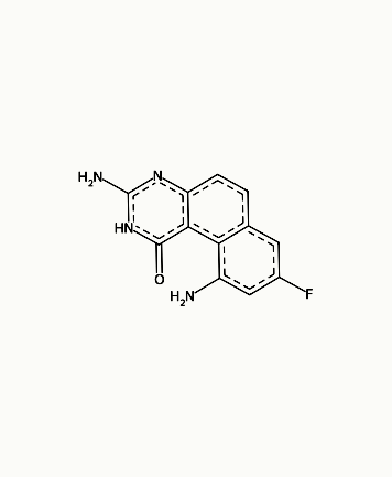 Nc1nc2ccc3cc(F)cc(N)c3c2c(=O)[nH]1